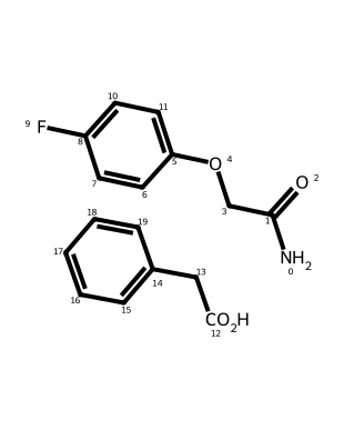 NC(=O)COc1ccc(F)cc1.O=C(O)Cc1ccccc1